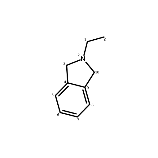 CCN1Cc2ccccc2C1